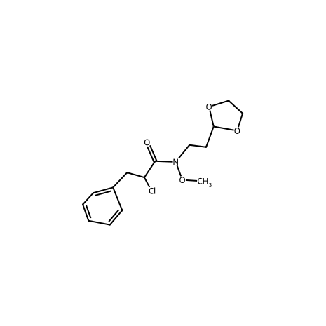 CON(CCC1OCCO1)C(=O)C(Cl)Cc1ccccc1